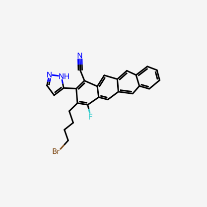 N#Cc1c(-c2ccn[nH]2)c(CCCCBr)c(F)c2cc3cc4ccccc4cc3cc12